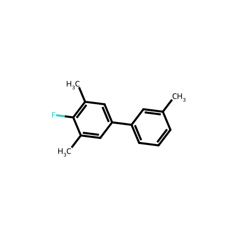 Cc1cccc(-c2cc(C)c(F)c(C)c2)c1